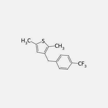 Cc1cc(Cc2ccc(C(F)(F)F)cc2)c(C)s1